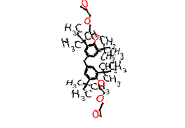 CCC(C)(C)c1cc(Cc2cc(C(C)(C)CC)c(OCCOCC3CO3)c(C(C)(C)CC)c2)cc(C(C)(C)CC)c1OCCOCC1CO1